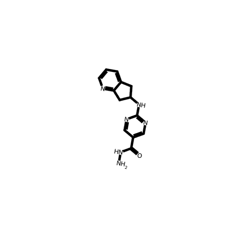 NNC(=O)c1cnc(NC2Cc3cccnc3C2)nc1